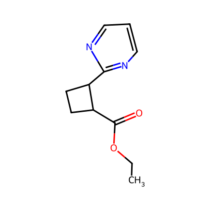 CCOC(=O)C1CCC1c1ncccn1